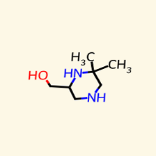 CC1(C)CNCC(CO)N1